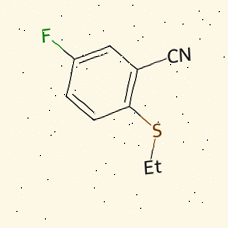 CCSc1ccc(F)cc1C#N